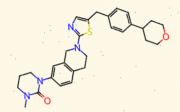 CN1CCCN(c2ccc3c(c2)CN(c2ncc(Cc4ccc(C5CCOCC5)cc4)s2)CC3)C1=O